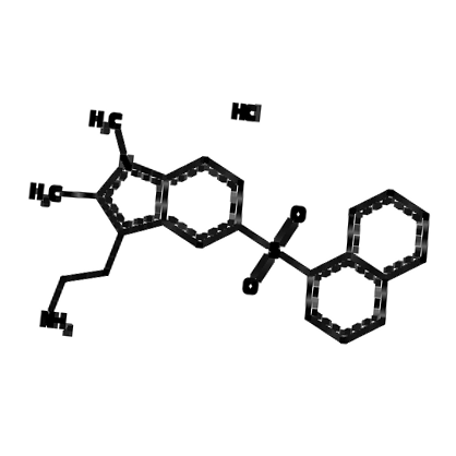 Cc1c(CCN)c2cc(S(=O)(=O)c3cccc4ccccc34)ccc2n1C.Cl